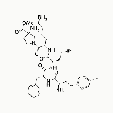 COC(=O)C1(N)CCN(C(=O)[C@@H](CCCCN)NC(=O)[C@@H](CCC(C)C)NC(=O)[C@@H](Cc2ccccc2)NC(=O)[C@H](N)CCc2ccc(F)cc2)C1